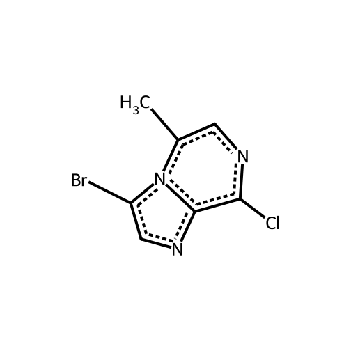 Cc1cnc(Cl)c2ncc(Br)n12